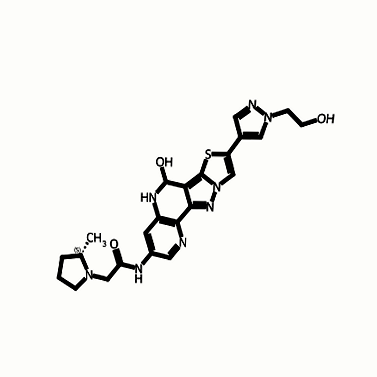 C[C@H]1CCCN1CC(=O)Nc1cnc2c(c1)NC(O)c1c-2nn2cc(-c3cnn(CCO)c3)sc12